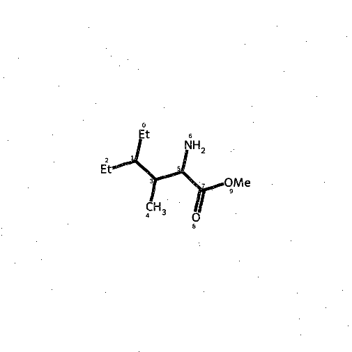 CCC(CC)C(C)C(N)C(=O)OC